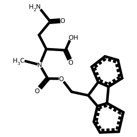 CN(C(=O)OCC1c2ccccc2-c2ccccc21)C(CC(N)=O)C(=O)O